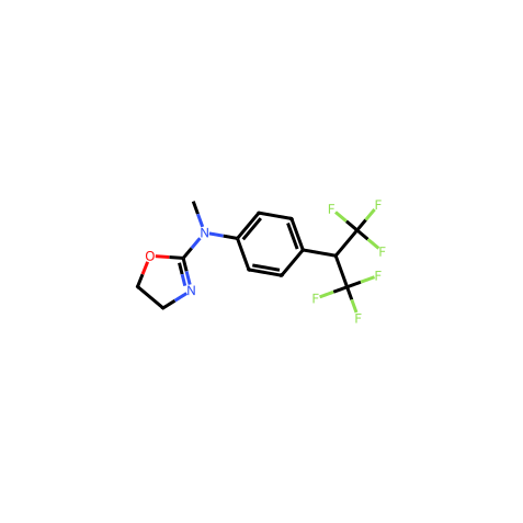 CN(C1=NCCO1)c1ccc(C(C(F)(F)F)C(F)(F)F)cc1